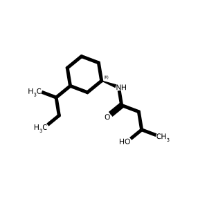 CCC(C)C1CCC[C@@H](NC(=O)CC(C)O)C1